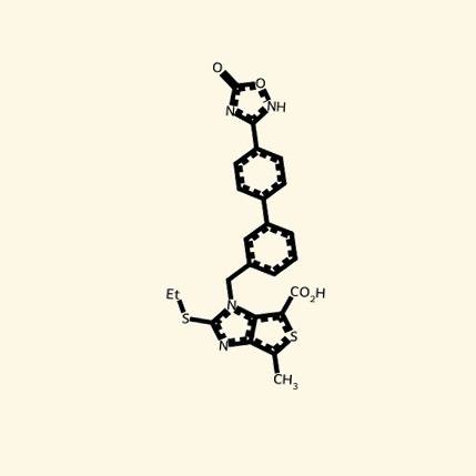 CCSc1nc2c(C)sc(C(=O)O)c2n1Cc1cccc(-c2ccc(-c3nc(=O)o[nH]3)cc2)c1